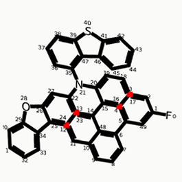 Fc1cccc(-c2cccc3cccc(-c4ccccc4N(c4ccc5c(c4)oc4ccccc45)c4cccc5sc6ccccc6c45)c23)c1